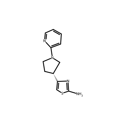 Nc1nc([C@@H]2CCN(c3ccccn3)C2)cs1